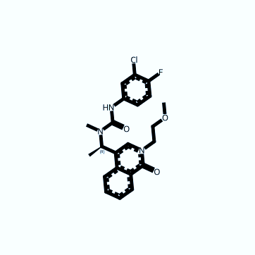 COCCn1cc([C@@H](C)N(C)C(=O)Nc2ccc(F)c(Cl)c2)c2ccccc2c1=O